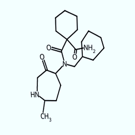 CC1CCC(N(CC2CCCCC2)C(=O)C2(C(N)=O)CCCCC2)C(=O)CN1